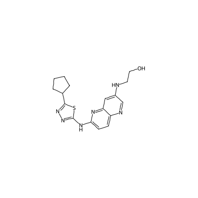 OCCNc1cnc2ccc(Nc3nnc(C4CCCC4)s3)nc2c1